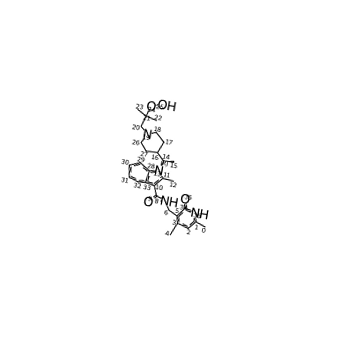 Cc1cc(C)c(CNC(=O)c2c(C)n([C@H](C)C3CCN(CC(C)(C)OO)CC3)c3ccccc23)c(=O)[nH]1